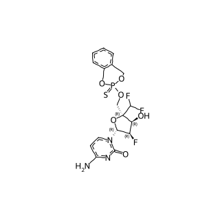 Nc1ccn([C@@H]2O[C@@](COP3(=S)OCc4ccccc4O3)(C(F)F)[C@@H](O)[C@H]2F)c(=O)n1